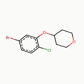 Clc1ccc(Br)cc1OC1CCOCC1